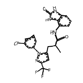 CC(Cc1cc(C(F)(F)F)nn1-c1cccc(Cl)c1)C(=O)Nc1cccc2[nH]c(=O)[nH]c12